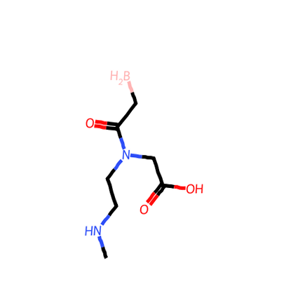 BCC(=O)N(CCNC)CC(=O)O